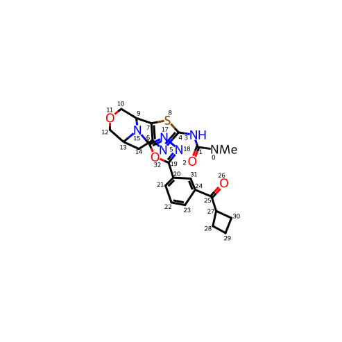 CNC(=O)Nc1nc2c(s1)C1COCC(C2)N1c1nnc(-c2cccc(C(=O)C3CCC3)c2)o1